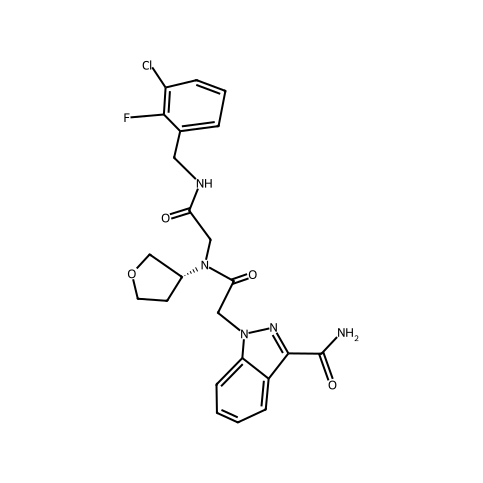 NC(=O)c1nn(CC(=O)N(CC(=O)NCc2cccc(Cl)c2F)[C@@H]2CCOC2)c2ccccc12